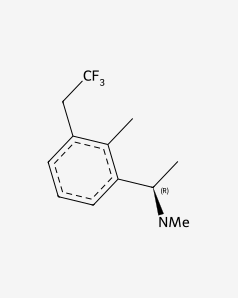 CN[C@H](C)c1cccc(CC(F)(F)F)c1C